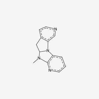 CN1c2ncccc2N2c3cnccc3CC12